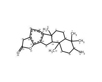 CC12CCC3C(C)(C)C(N)CCC3(C)C1Cc1c2ccc2c1OC(=O)C2